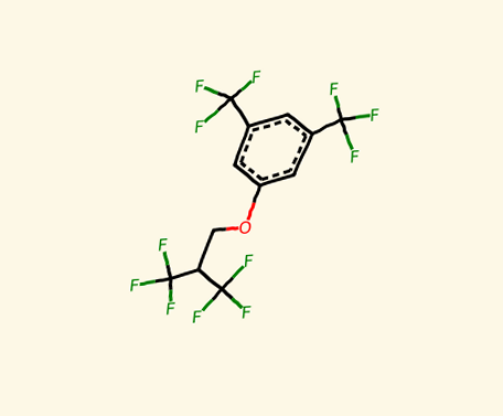 FC(F)(F)c1cc(OCC(C(F)(F)F)C(F)(F)F)cc(C(F)(F)F)c1